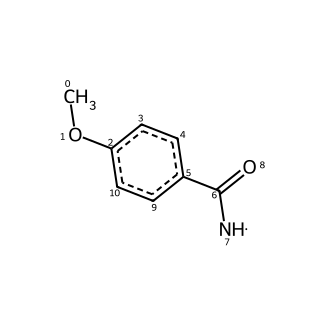 COc1ccc(C([NH])=O)cc1